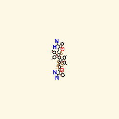 CSC1=C(/C=C/C=C2\C(=O)c3ccccc3C2=C(C#N)C#N)C(c2ccc(C)cc2)(c2ccc(C)cc2)c2cc3c(cc21)C(c1ccc(C)cc1)(c1ccc(C)cc1)c1c-3sc2c1sc1cc(/C=C3\C(=O)c4ccccc4C3=C(C#N)C#N)sc12